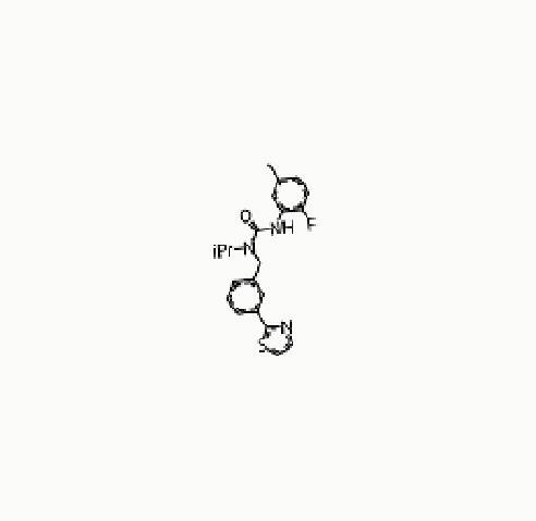 Cc1ccc(F)c(NC(=O)N(Cc2cccc(-c3nccs3)c2)C(C)C)c1